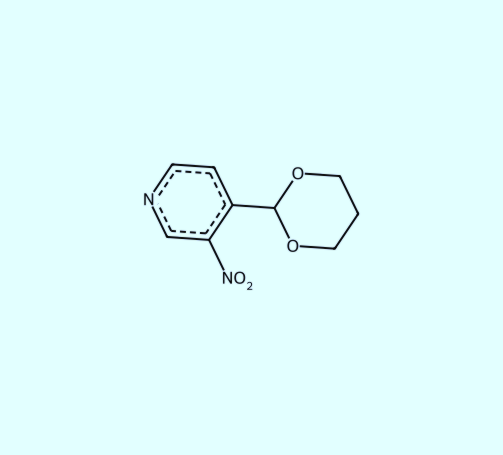 O=[N+]([O-])c1cnccc1C1OCCCO1